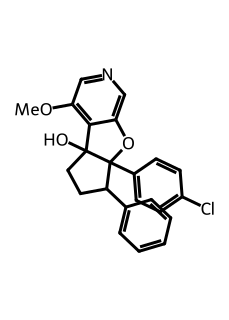 COc1cncc2c1C1(O)CCC(c3ccccc3)C1(c1ccc(Cl)cc1)O2